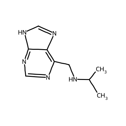 CC(C)NCc1ncnc2[nH]cnc12